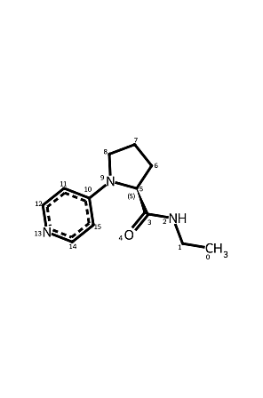 CCNC(=O)[C@@H]1CCCN1c1ccncc1